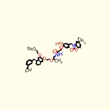 C#Cc1cccc(CC2CCCc3cc(OCCOC(C)CNC(=O)COc4ccc(Cn5c(=O)oc6ccc(C)cc65)cc4O)c(OCCOC)cc32)c1